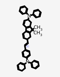 CC1(C)C2=C(C=CC(/C=C/c3ccc(N(C4=CC=CCC4)c4ccccc4)cc3)C2)C2=C1CC(N(c1ccccc1)c1ccccc1)C=C2